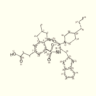 CC1CNc2c(cc(CCC(=O)O)cc2S(=O)(=O)NC(Cc2nc3ccccc3s2)C(=O)N2CCC(CCF)CC2)C1